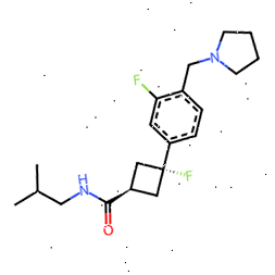 CC(C)CNC(=O)[C@H]1C[C@@](F)(c2ccc(CN3CCCC3)c(F)c2)C1